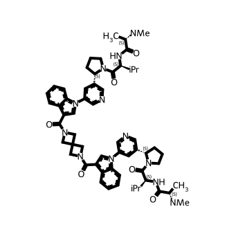 CN[C@@H](C)C(=O)N[C@H](C(=O)N1CCC[C@H]1c1cncc(-n2cc(C(=O)N3CC4(C3)CN(C(=O)c3cn(-c5cncc([C@@H]6CCCN6C(=O)[C@@H](NC(=O)[C@H](C)NC)C(C)C)c5)c5ccccc35)C4)c3ccccc32)c1)C(C)C